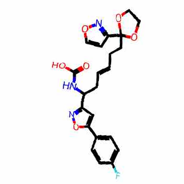 O=C(O)NC(CC=CCCC1(c2ccon2)OCCO1)c1cc(-c2ccc(F)cc2)on1